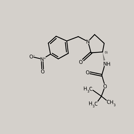 CC(C)(C)OC(=O)N[C@H]1CCN(Cc2ccc([N+](=O)[O-])cc2)C1=O